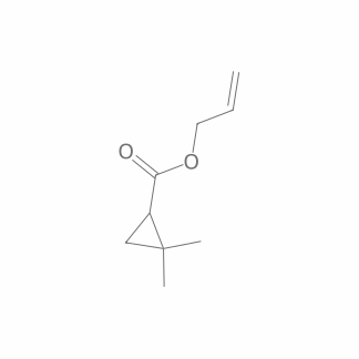 C=CCOC(=O)C1CC1(C)C